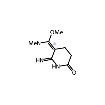 CN/C(OC)=C1/CCC(=O)NC1=N